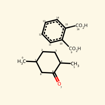 CC1CCC(C)C(=O)C1.O=C(O)c1ccccc1C(=O)O